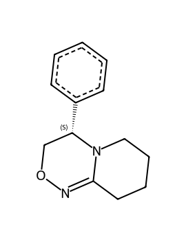 c1ccc([C@H]2CON=C3CCCCN32)cc1